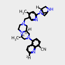 [2H]c1ccc2c(N3C[C@@H]4CN(Cc5cnc(N6CC7C[C@H]6CN7)cc5C)CCN4[C@H](C)C3)ccc(C#N)c2n1